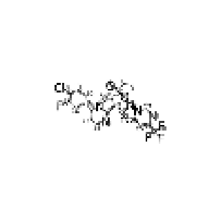 CCS(=O)(=O)c1nn2c(-c3ccc(Cl)c(F)c3)ccnc2c1-c1nc2cc(C(F)(F)F)ncn2n1